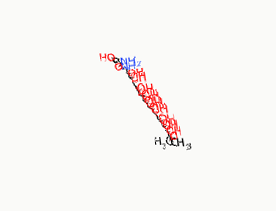 CC(C)C(=O)CC(O)CC(O)CC(O)/C=C/CC(O)CC(O)CC(O)CC(O)/C=C/CC(O)CC(O)CCCNC(=O)C(N)c1ccc(O)cc1